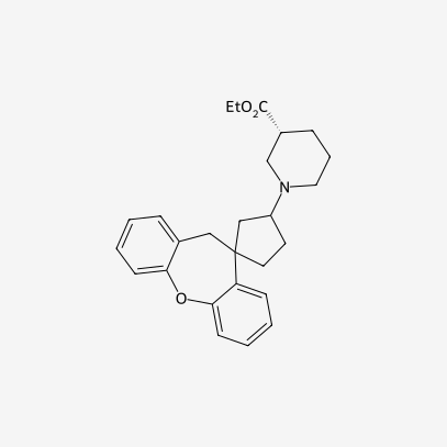 CCOC(=O)[C@@H]1CCCN(C2CCC3(Cc4ccccc4Oc4ccccc43)C2)C1